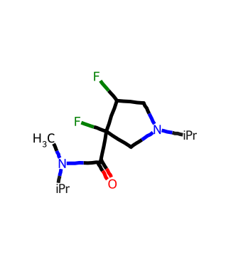 CC(C)N1CC(F)C(F)(C(=O)N(C)C(C)C)C1